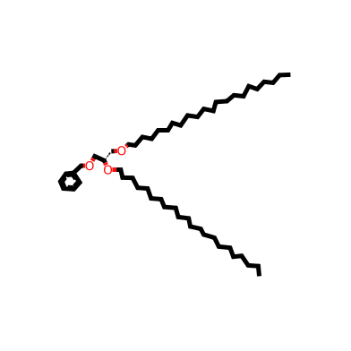 CCCCCCCCCCCCCCCCCCCCCCOC[C@@H](COCc1ccccc1)OCCCCCCCCCCCCCCCCCCCCCC